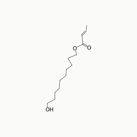 CC=CC(=O)OCCCCCCCCCCO